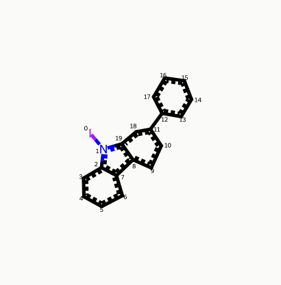 In1c2ccccc2c2ccc(-c3ccccc3)cc21